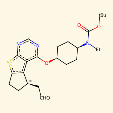 CCN(C(=O)OC(C)(C)C)[C@H]1CC[C@@H](Oc2ncnc3sc4c(c23)[C@@H](CC=O)CC4)CC1